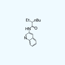 CCCCC(CC)C(=O)Nc1cnc2ccccc2c1